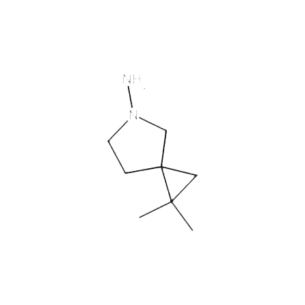 CC1(C)CC12CCN(N)C2